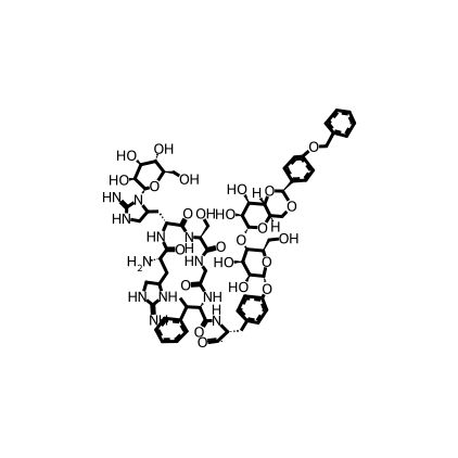 CC(c1ccccc1)[C@H](NC(=O)CNC(=O)[C@H](CO)NC(=O)[C@@H](CC1CNC(=N)N1[C@H]1O[C@H](CO)[C@@H](O)[C@H](O)[C@@H]1O)NC(=O)[C@@H](N)CC1CNC(=N)N1)C(=O)N[C@@H]([C]=O)Cc1ccc(O[C@H]2O[C@H](CO)[C@@H](O[C@H]3O[C@@H]4CO[C@H](c5ccc(OCc6ccccc6)cc5)O[C@H]4[C@H](O)[C@@H]3O)[C@H](O)[C@@H]2O)cc1